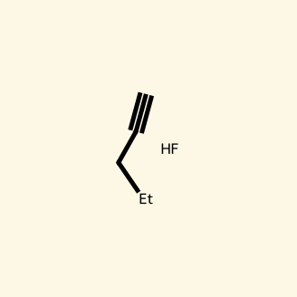 C#CCCC.F